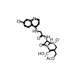 CC(=O)OCC1=C(C(=O)O)N2C(=O)[C@@H](NC(=O)CNc3ccnc4cc(Cl)ccc34)[C@H]2[S+]([O-])C1